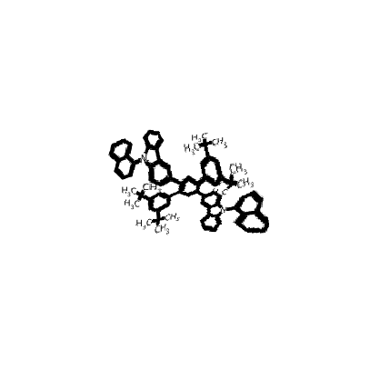 CC(C)(C)c1cc(-c2cc(-c3ccc4c(c3)c3ccccc3n4-c3cccc4ccccc34)c(-c3cc(C(C)(C)C)cc(C(C)(C)C)c3)cc2-c2ccc3c(c2)c2ccccc2n3-c2cccc3ccccc23)cc(C(C)(C)C)c1